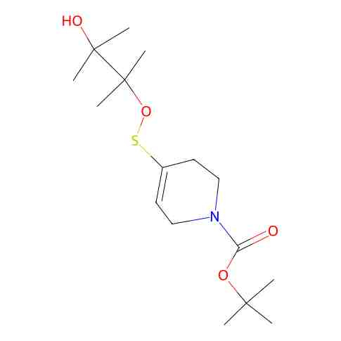 CC(C)(C)OC(=O)N1CC=C(SOC(C)(C)C(C)(C)O)CC1